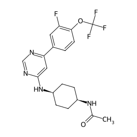 CC(=O)N[C@H]1CC[C@@H](Nc2cc(-c3ccc(OC(F)(F)F)c(F)c3)ncn2)CC1